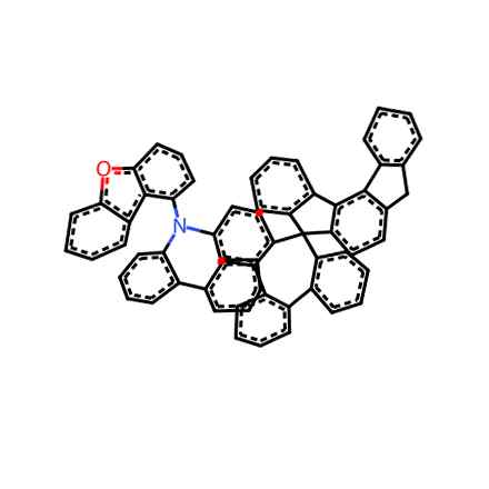 c1ccc(-c2ccccc2N(c2ccc3c(c2)-c2ccccc2-c2ccccc2C32c3ccccc3-c3c2ccc2c3-c3ccccc3C2)c2cccc3oc4ccccc4c23)cc1